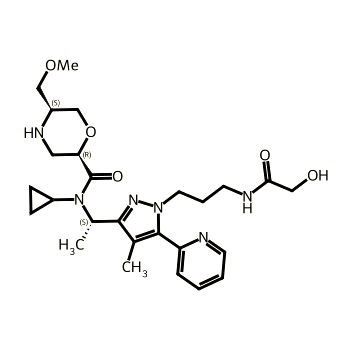 COC[C@H]1CO[C@@H](C(=O)N(C2CC2)[C@@H](C)c2nn(CCCNC(=O)CO)c(-c3ccccn3)c2C)CN1